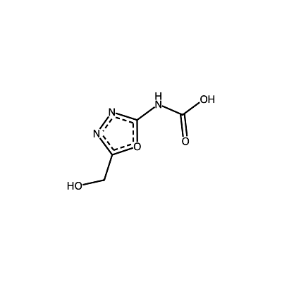 O=C(O)Nc1nnc(CO)o1